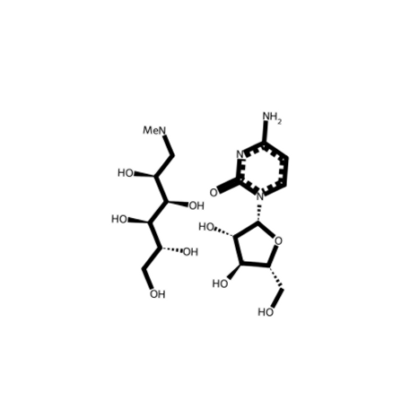 CNC[C@H](O)[C@@H](O)[C@H](O)[C@H](O)CO.Nc1ccn([C@@H]2O[C@H](CO)[C@@H](O)[C@@H]2O)c(=O)n1